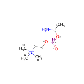 CC(N)O[PH](=O)OCC[N+](C)(C)C